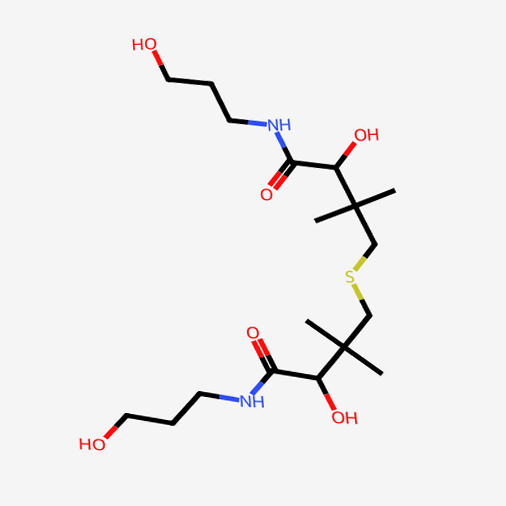 CC(C)(CSCC(C)(C)C(O)C(=O)NCCCO)C(O)C(=O)NCCCO